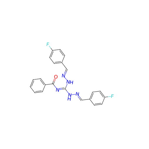 O=C(N=C(NN=Cc1ccc(F)cc1)NN=Cc1ccc(F)cc1)c1ccccc1